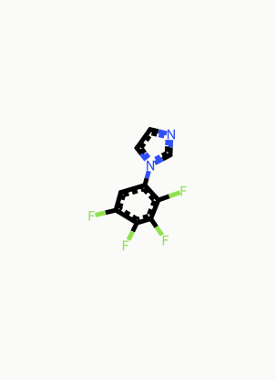 Fc1cc(-n2ccnc2)c(F)c(F)c1F